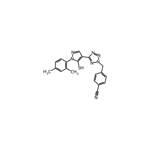 Cc1ccc(-n2ncc(-c3nnn(Cc4ccc(C#N)cc4)n3)c2S)c(C)c1